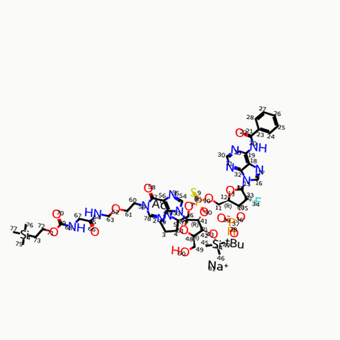 CC(=O)N1CCC[C@@H]1CO[P@@](=S)(OC[C@H]1O[C@@H](n2cnc3c(NC(=O)c4ccccc4)ncnc32)[C@H](F)[C@@H]1O[PH](=O)[O-])O[C@@H]1[C@H](O[Si](C)(C)C(C)(C)C)[C@@H](CO)O[C@H]1n1cnc2c(=O)n(CCOCNC(=O)CNC(=O)OCC[Si](C)(C)C)cnc21.[Na+]